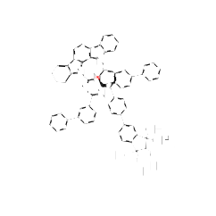 CC1C(C)(C)c2ccc(-c3ccc(-c4ccc(-n5c6ccccc6c6ccc7c8c(n(-c9nc(-c%10ccc(-c%11ccccc%11)cc%10)nc(-c%10cccc(-c%11ccccc%11)c%10)n9)c7c65)=CCCC=8)cc4)cc3)cc2C1(C)C